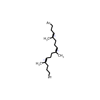 CC(=O)CC/C=C(\C)CC/C=C(/C)CC/C=C(/C)CCCC(C)C